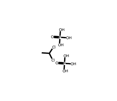 CC(Cl)Cl.O=P(O)(O)O.O=P(O)(O)O